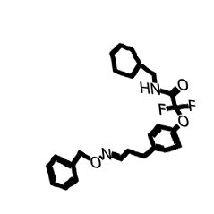 O=C(NCC1CCCCC1)C(F)(F)Oc1ccc(CCC=NOCc2ccccc2)cc1